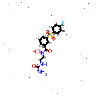 NC(=O)NCCN(O)C(=O)c1cccc(S(=O)(=O)c2ccc(F)cc2)c1